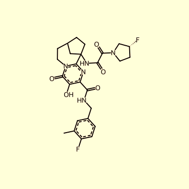 Cc1cc(CNC(=O)c2nc3n(c(=O)c2O)CCC2CCC3(NC(=O)C(=O)N3CC[C@@H](F)C3)C2)ccc1F